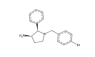 CCc1ccc(CN2CC[C@@H](N)[C@H]2c2ccccc2)cc1